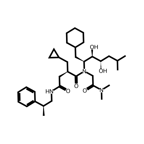 CC(C)C[C@H](O)[C@H](O)[C@H](CC1CCCCC1)N(CC(=O)N(C)C)C(=O)[C@@H](CC(=O)NC[C@@H](C)c1ccccc1)CC1CC1